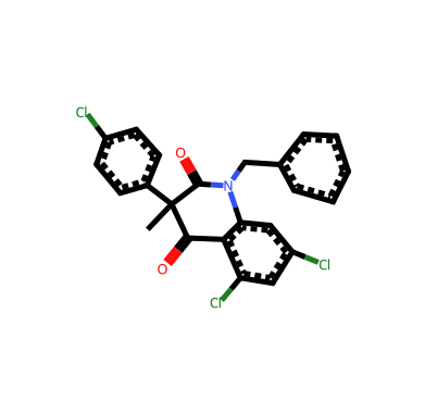 CC1(c2ccc(Cl)cc2)C(=O)c2c(Cl)cc(Cl)cc2N(Cc2ccccc2)C1=O